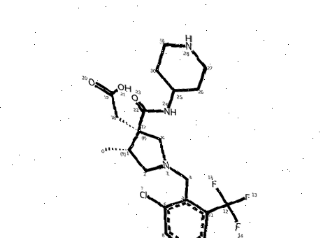 C[C@H]1CN(Cc2c(Cl)cccc2C(F)(F)F)C[C@]1(CC(=O)O)C(=O)NC1CCNCC1